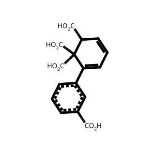 O=C(O)c1cccc(C2=CC=CC(C(=O)O)C2(C(=O)O)C(=O)O)c1